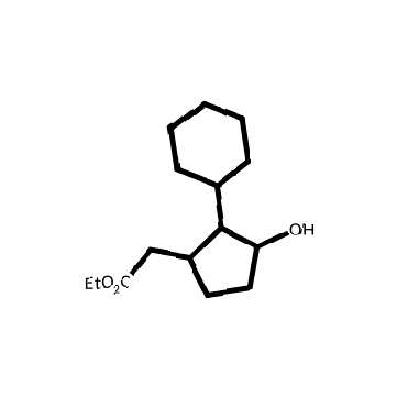 CCOC(=O)CC1CCC(O)C1C1CCCCC1